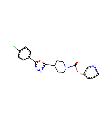 O=C(Oc1cccnc1)N1CCC(c2nnc(-c3ccc(Cl)cc3)o2)CC1